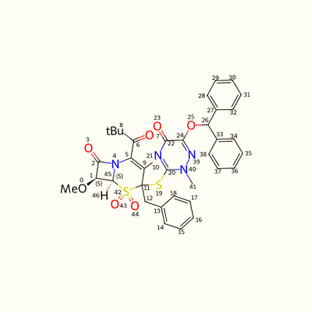 CO[C@H]1C(=O)N2C(C(=O)C(C)(C)C)=C(C)C(Cc3ccccc3)(Sc3nc(=O)c(OC(c4ccccc4)c4ccccc4)nn3C)S(=O)(=O)[C@@H]12